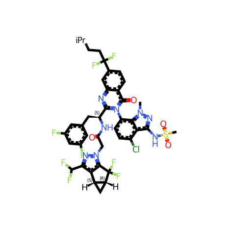 CC(C)CCC(F)(F)c1ccc2c(=O)n(-c3ccc(Cl)c4c(NS(C)(=O)=O)nn(C)c34)c([C@H](Cc3cc(F)cc(F)c3)NC(=O)Cn3nc(C(F)F)c4c3C(F)(F)[C@@H]3C[C@H]43)nc2c1